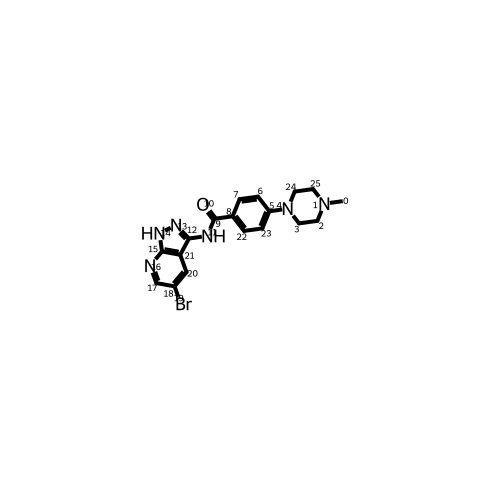 CN1CCN(c2ccc(C(=O)Nc3n[nH]c4ncc(Br)cc34)cc2)CC1